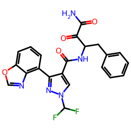 NC(=O)C(=O)C(Cc1ccccc1)NC(=O)c1cn(C(F)F)nc1-c1cccc2ocnc12